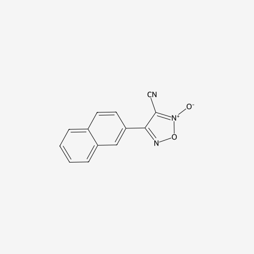 N#Cc1c(-c2ccc3ccccc3c2)no[n+]1[O-]